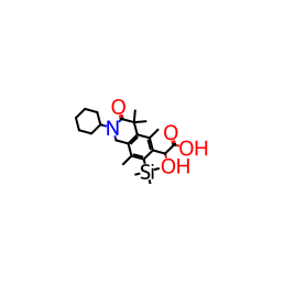 Cc1c(C(O)C(=O)O)c([Si](C)(C)C)c(C)c2c1C(C)(C)C(=O)N(C1CCCCC1)C2